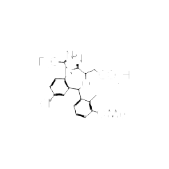 COc1cccc(C2OC(CC(=O)O)c3nnc(C(F)(F)F)n3-c3ccc(Cl)cc32)c1C